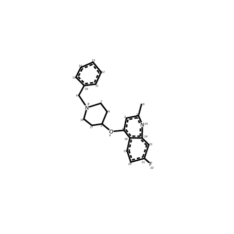 Cc1cc(OC2CCN(Cc3ccccc3)CC2)c2ccc(F)cc2n1